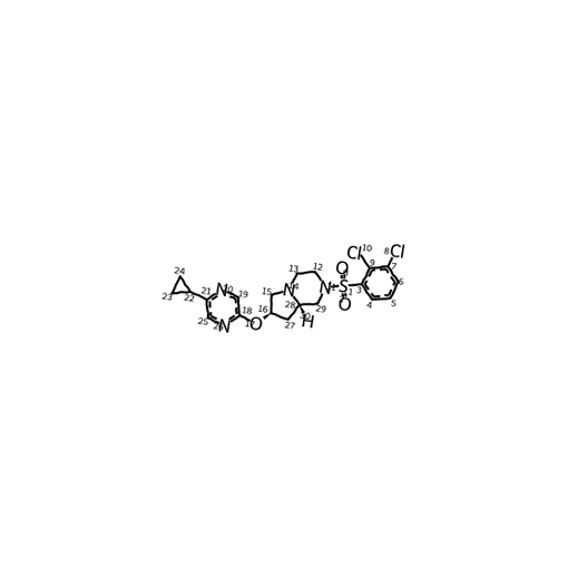 O=S(=O)(c1cccc(Cl)c1Cl)N1CCN2C[C@H](Oc3cnc(C4CC4)cn3)C[C@H]2C1